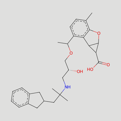 Cc1ccc(C(C)OC[C@H](O)CNC(C)(C)CC2Cc3ccccc3C2)c2c1OC1C(C(=O)O)C21